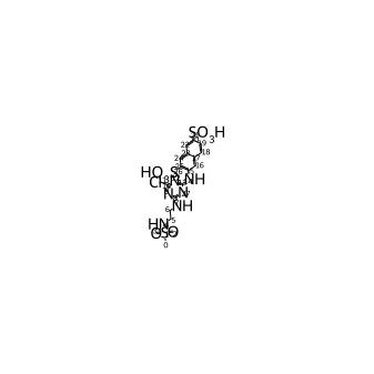 CS(=O)(=O)NCCNc1nc(Cl)nc(Nc2cc3ccc(S(=O)(=O)O)cc3cc2S(=O)(=O)O)n1